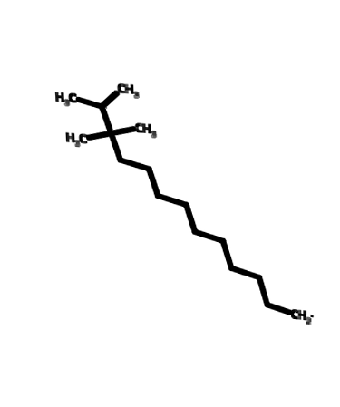 [CH2]CCCCCCCCCC(C)(C)[C](C)C